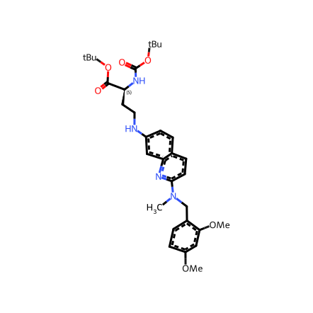 COc1ccc(CN(C)c2ccc3ccc(NCC[C@H](NC(=O)OC(C)(C)C)C(=O)OC(C)(C)C)cc3n2)c(OC)c1